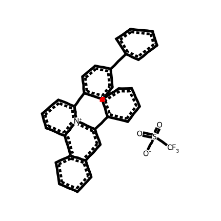 O=S(=O)([O-])C(F)(F)F.c1ccc(-c2ccc(-c3cccc4c5ccccc5cc(-c5ccccc5)[n+]34)cc2)cc1